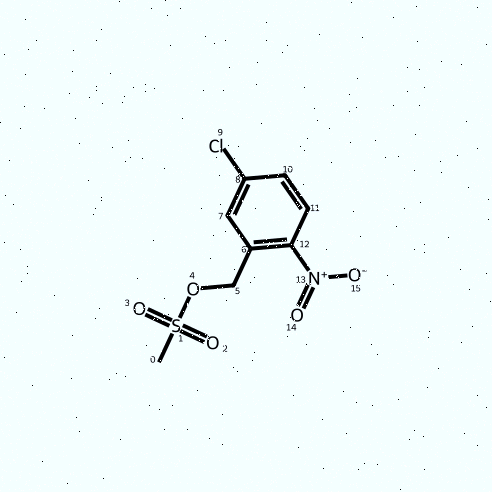 CS(=O)(=O)OCc1cc(Cl)ccc1[N+](=O)[O-]